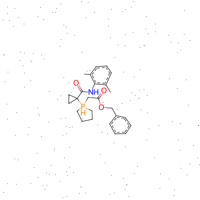 Cc1cccc(C)c1NC(=O)C1([PH]2(CC(=O)OCc3ccccc3)CCCC2)CC1